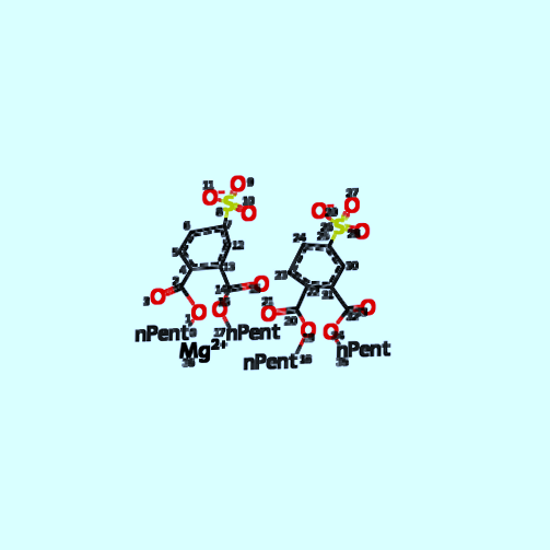 CCCCCOC(=O)c1ccc(S(=O)(=O)[O-])cc1C(=O)OCCCCC.CCCCCOC(=O)c1ccc(S(=O)(=O)[O-])cc1C(=O)OCCCCC.[Mg+2]